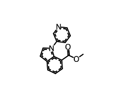 COC(=O)c1cccc2ccn(-c3cccnc3)c12